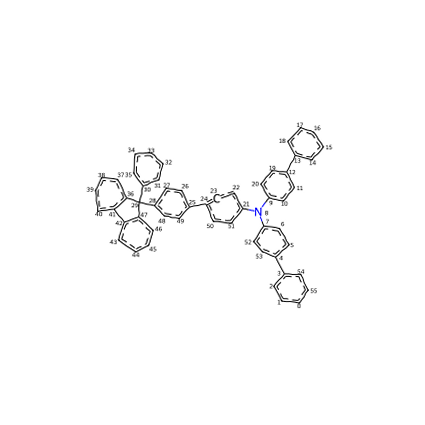 c1ccc(-c2ccc(N(c3ccc(-c4ccccc4)cc3)c3ccc(-c4ccc(C5(c6ccccc6)c6ccccc6-c6ccccc65)cc4)cc3)cc2)cc1